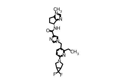 CCc1nc(N2CC3C(C2)C3(F)F)ccc1Cn1cnc(C(=O)N[C@@H]2CCc3c2ncn3C)c1